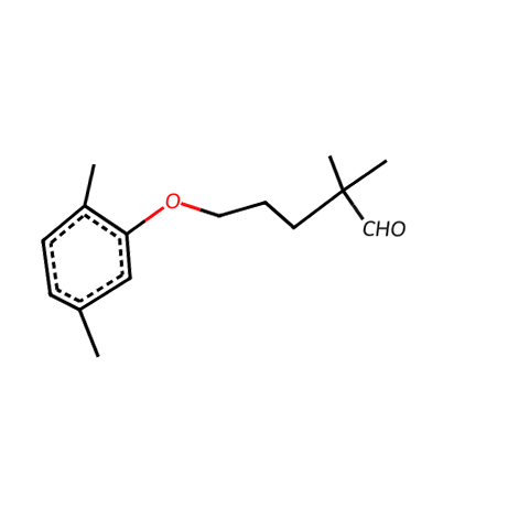 Cc1ccc(C)c(OCCCC(C)(C)C=O)c1